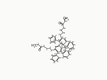 C=CC(=O)CCCCc1ccc(C2(c3ccc(CCCCC(=O)C=C)c(-c4ccccc4)c3)c3ccccc3-c3ccccc32)cc1-c1ccccc1